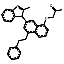 CC(=O)COc1cccc2c(CCc3ccccc3)cc(C3C(C)=Nc4ccccc43)cc12